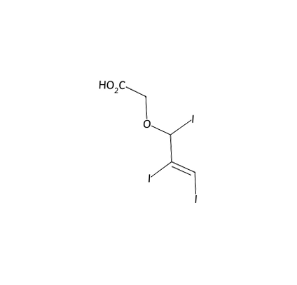 O=C(O)COC(I)C(I)=CI